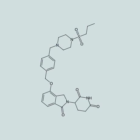 CCCS(=O)(=O)N1CCN(Cc2ccc(COc3cccc4c3CN(C3CCC(=O)NC3=O)C4=O)cc2)CC1